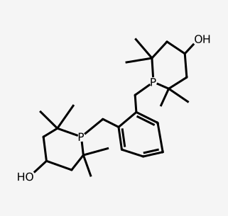 CC1(C)CC(O)CC(C)(C)P1Cc1ccccc1CP1C(C)(C)CC(O)CC1(C)C